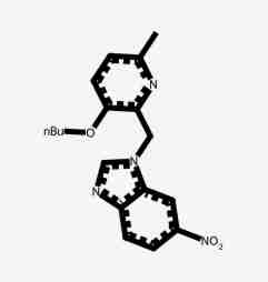 CCCCOc1ccc(C)nc1Cn1cnc2ccc([N+](=O)[O-])cc21